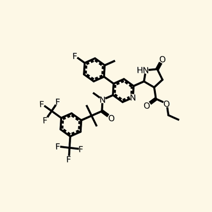 CCOC(=O)C1CC(=O)NC1c1cc(-c2ccc(F)cc2C)c(N(C)C(=O)C(C)(C)c2cc(C(F)(F)F)cc(C(F)(F)F)c2)cn1